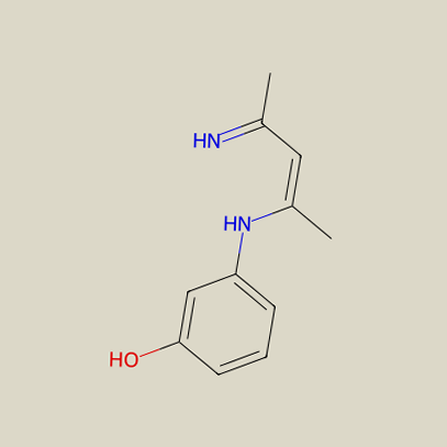 CC(=N)/C=C(/C)Nc1cccc(O)c1